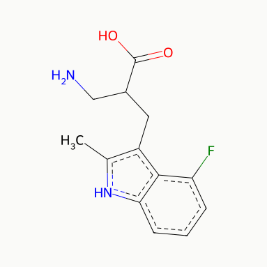 Cc1[nH]c2cccc(F)c2c1CC(CN)C(=O)O